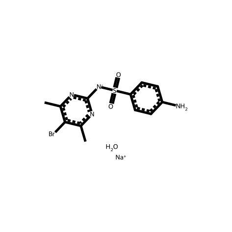 Cc1nc([N-]S(=O)(=O)c2ccc(N)cc2)nc(C)c1Br.O.[Na+]